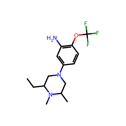 CCC1CN(c2ccc(OC(F)(F)F)c(N)c2)CC(C)N1C